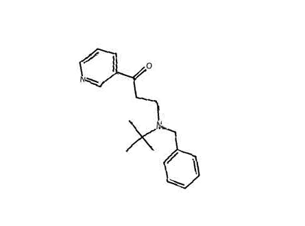 CC(C)(C)N(CCC(=O)c1cccnc1)Cc1ccccc1